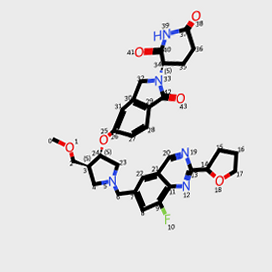 COC[C@@H]1CN(Cc2cc(F)c3nc(C4CCCO4)ncc3c2)C[C@H]1Oc1ccc2c(c1)CN([C@H]1CCC(=O)NC1=O)C2=O